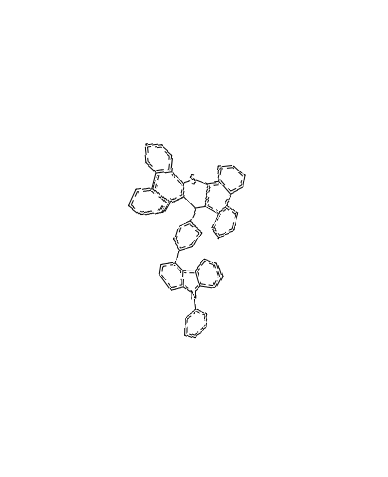 c1ccc(-n2c3ccccc3c3c(-c4ccc(C5c6c(c7ccccc7c7ccccc67)Sc6c5c5ccccc5c5ccccc65)cc4)cccc32)cc1